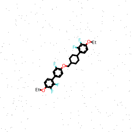 CCOc1ccc(-c2ccc(OCC3CCC(c4ccc(OCC)c(F)c4F)CC3)c(F)c2)c(F)c1F